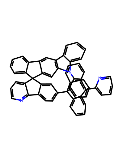 c1ccc(-n2c3ccccc3c3cc4c(cc32)C2(c3ccccc3-4)c3cc(-c4c5ccccc5c(-c5ccccn5)c5ccccc45)ccc3-c3ncccc32)cc1